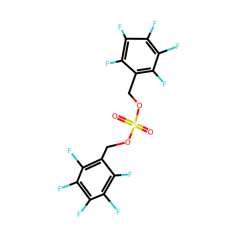 O=S(=O)(OCc1c(F)c(F)c(F)c(F)c1F)OCc1c(F)c(F)c(F)c(F)c1F